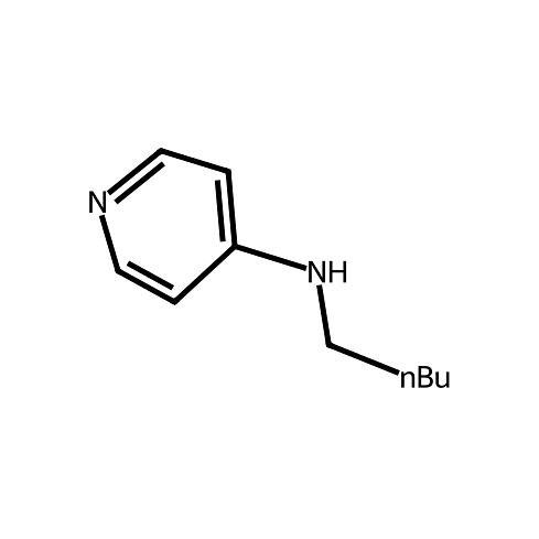 CCCCCNc1ccncc1